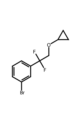 FC(F)(COC1CC1)c1cccc(Br)c1